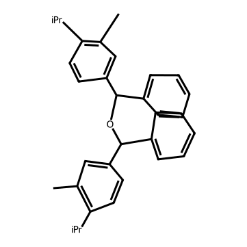 Cc1cc(C(OC(c2ccccc2)c2ccc(C(C)C)c(C)c2)c2ccccc2)ccc1C(C)C